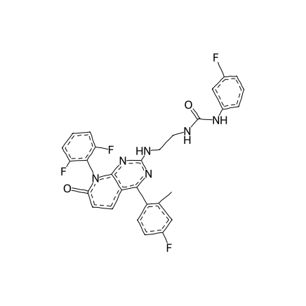 Cc1cc(F)ccc1-c1nc(NCCNC(=O)Nc2cccc(F)c2)nc2c1ccc(=O)n2-c1c(F)cccc1F